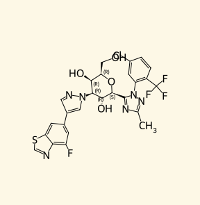 Cc1nc([C@@H]2O[C@H](CO)[C@H](O)[C@H](n3cc(-c4cc(F)c5ncsc5c4)cn3)[C@H]2O)n(-c2cc(Cl)ccc2C(F)(F)F)n1